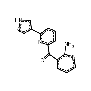 Nc1ncccc1C(=O)c1cccc(-c2cn[nH]c2)n1